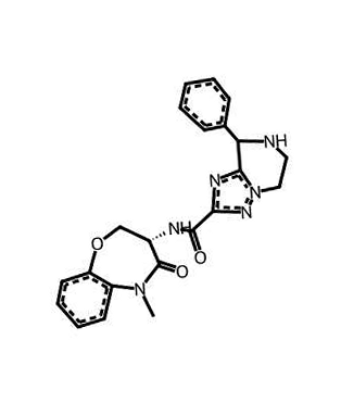 CN1C(=O)[C@@H](NC(=O)c2nc3n(n2)CCNC3c2ccccc2)COc2ccccc21